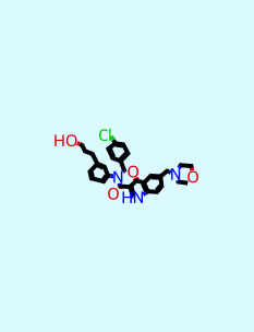 O=C(c1c[nH]c2ccc(CN3CCOCC3)cc2c1=O)N(Cc1ccc(Cl)cc1)c1cccc(CCCO)c1